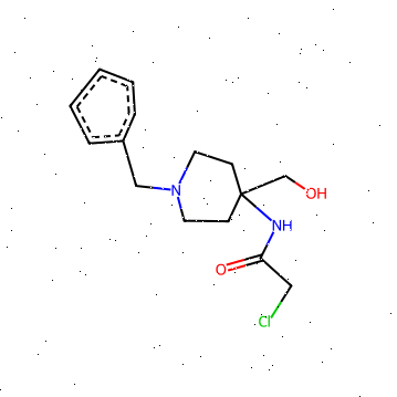 O=C(CCl)NC1(CO)CCN(Cc2ccccc2)CC1